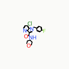 O=C(NC1CCOCC1)c1cn(Cc2ccc(F)cc2)c2c(Cl)ccnc12